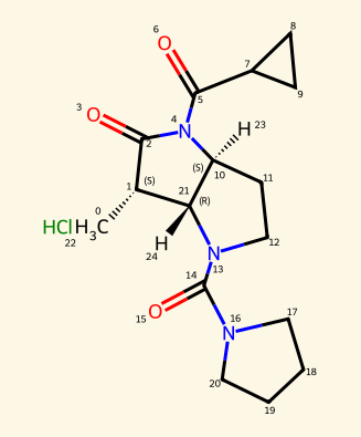 C[C@@H]1C(=O)N(C(=O)C2CC2)[C@H]2CCN(C(=O)N3CCCC3)[C@H]12.Cl